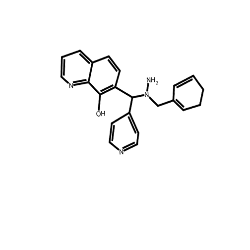 NN(CC1=CCCC=C1)C(c1ccncc1)c1ccc2cccnc2c1O